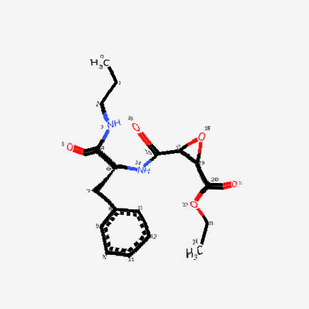 CCCNC(=O)[C@H](Cc1ccccc1)NC(=O)C1OC1C(=O)OCC